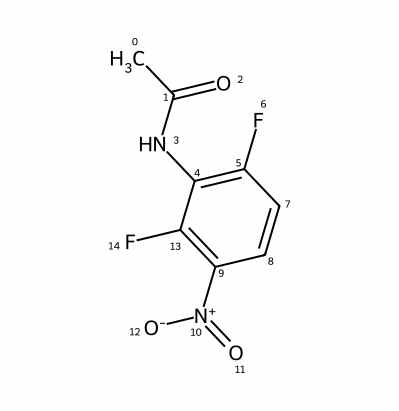 CC(=O)Nc1c(F)ccc([N+](=O)[O-])c1F